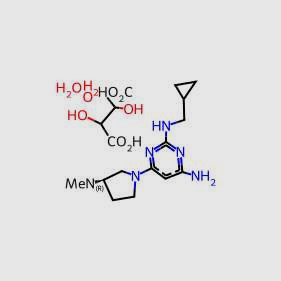 CN[C@@H]1CCN(c2cc(N)nc(NCC3CC3)n2)C1.O.O.O=C(O)C(O)C(O)C(=O)O